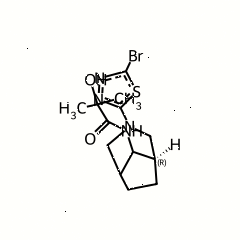 CC(C)(O)C(=O)NC1C2CC[C@@H]1CN(c1nnc(Br)s1)C2